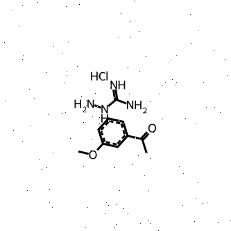 COc1cccc(C(C)=O)c1.Cl.N=C(N)NN